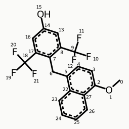 COc1ccc(Cc2c(C(F)(F)F)cc(O)cc2C(F)(F)F)c2ccccc12